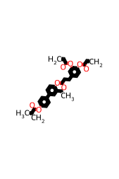 C=CC(=O)Oc1ccc(CCC(=O)Oc2ccc(-c3ccc(OC(=O)C(=C)C)cc3)cc2CC)cc1OC(=O)C=C